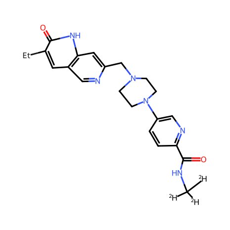 [2H]C([2H])([2H])NC(=O)c1ccc(N2CCN(Cc3cc4[nH]c(=O)c(CC)cc4cn3)CC2)cn1